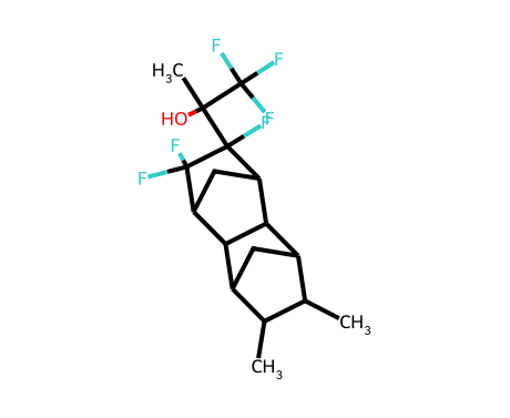 CC1C(C)C2CC1C1C2C2CC1C(F)(F)C2(F)C(C)(O)C(F)(F)F